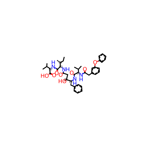 CC[C@H](C)[C@H](NC(=O)C[C@H](O)[C@H](Cc1ccccc1)NC(=O)[C@@H](NC(=O)Cc1cccc(Oc2ccccc2)c1)C(C)C)C(=O)N[C@H](C(=O)O)C(C)C